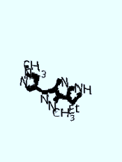 CCc1c[nH]c2ncc3c(-c4cnn(C)c4)nn(C)c3c12